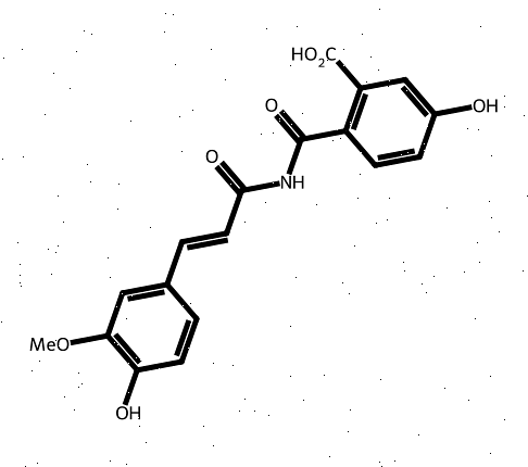 COc1cc(/C=C/C(=O)NC(=O)c2ccc(O)cc2C(=O)O)ccc1O